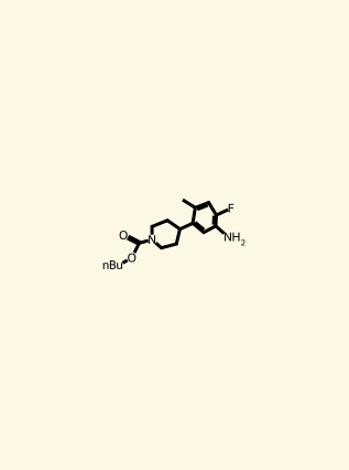 CCCCOC(=O)N1CCC(c2cc(N)c(F)cc2C)CC1